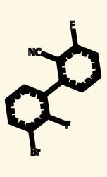 N#Cc1c(F)cccc1-c1cccc(Br)c1F